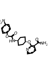 NC(=O)c1cccnc1O[C@H]1CC[C@H](NC(=O)Oc2ccc([N+](=O)[O-])cc2)CC1